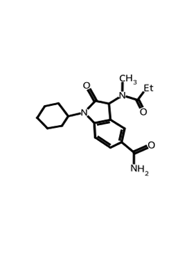 CCC(=O)N(C)C1C(=O)N(C2CCCCC2)c2ccc(C(N)=O)cc21